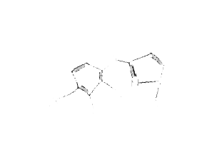 Cn1ccc(Oc2ccc(N)c(Cl)c2Cl)n1